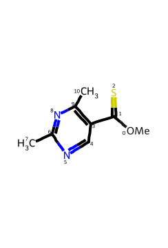 COC(=S)c1cnc(C)nc1C